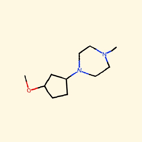 COC1CCC(N2CCN(C)CC2)C1